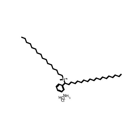 CCCCCCCCCCCCCCCCCCC(c1ccccc1)[N+](C)(C)CCCCCCCCCCCCCCCC.Cl.N.[Cl-]